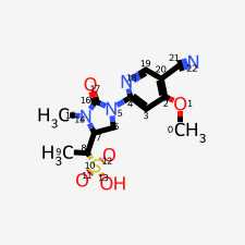 COc1cc(N2CC(C(C)S(=O)(=O)O)N(C)C2=O)ncc1C#N